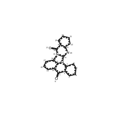 O=c1c2ccccc2n2c3c1cccc3n1c(=O)c3ccccc3nc12